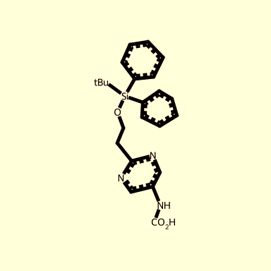 CC(C)(C)[Si](OCCc1ncc(NC(=O)O)cn1)(c1ccccc1)c1ccccc1